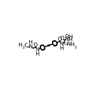 CCNCC(=O)Nc1ccc(C#Cc2ccc(C(=O)N[C@@H](CN)C(=O)NO)cc2)cc1